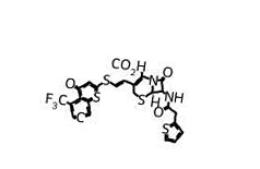 O=C(Cc1cccs1)NC1C(=O)N2C(C(=O)O)=C(/C=C/Sc3cc(=O)c4c(C(F)(F)F)cccc4s3)CS[C@H]12